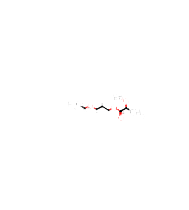 CCOC(C)C(=O)OCCCOCC(F)(F)F